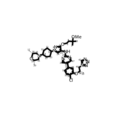 COC(C)(C)CCOc1nn(C2CCC(N3C[C@@H](C)O[C@@H](C)C3)CC2)cc1Nc1ncc(-c2ccc(Cl)c(O[C@@H](C)Cn3cnnn3)c2)cn1